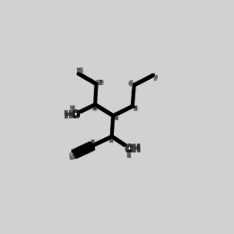 [C]#CC(O)C(CCC)C(O)CC